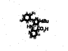 Cc1ccc(F)c(-n2nc(C(C)(C)C)cc2Nc2ncccc2C(=O)O)c1